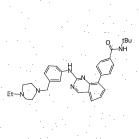 CCN1CCN(Cc2cccc(Nc3ncc4cccc(-c5ccc(C(=O)NC(C)(C)C)cc5)c4n3)c2)CC1